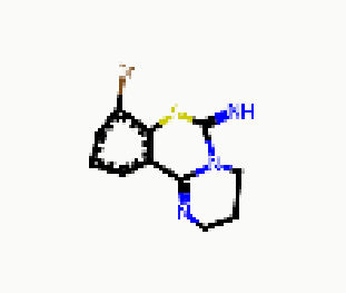 N=C1Sc2c(Br)cccc2C2=NCCCN12